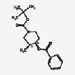 C[C@H]1CN(C(=O)OC(C)(C)C)CC[C@H]1OC(=O)c1ccccc1